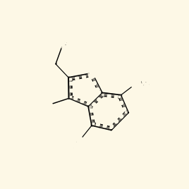 COc1ccc(C(=O)O)c2c(C)c(CBr)oc12